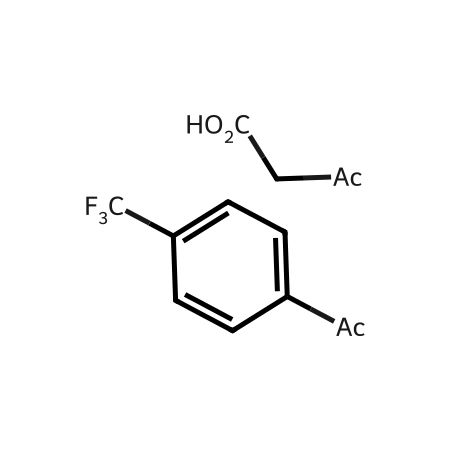 CC(=O)CC(=O)O.CC(=O)c1ccc(C(F)(F)F)cc1